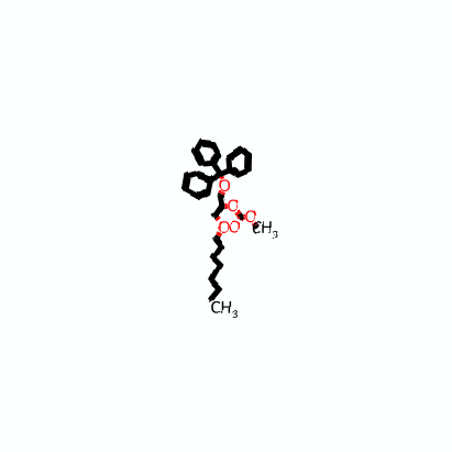 CCCCCCCCOCC(COC(c1ccccc1)(c1ccccc1)c1ccccc1)OC(=O)OC